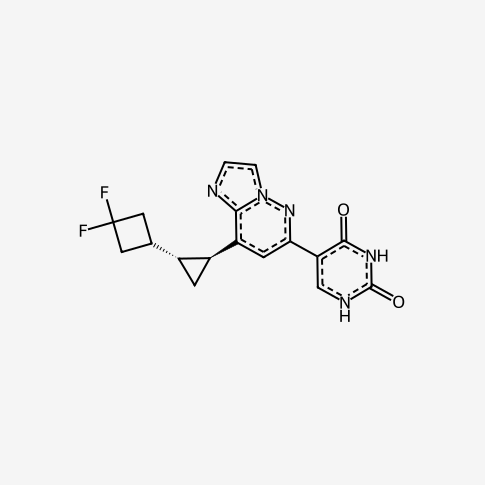 O=c1[nH]cc(-c2cc([C@H]3C[C@@H]3C3CC(F)(F)C3)c3nccn3n2)c(=O)[nH]1